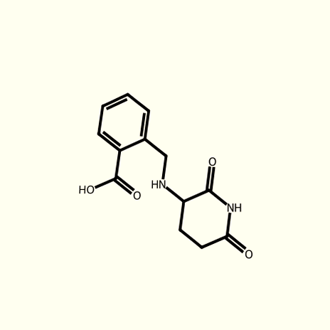 O=C1CCC(NCc2ccccc2C(=O)O)C(=O)N1